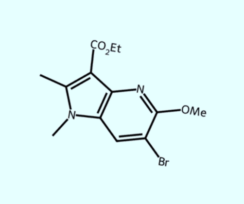 CCOC(=O)c1c(C)n(C)c2cc(Br)c(OC)nc12